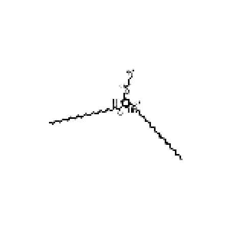 CCCCCC=CCC=CCCCCCCCCNC(=O)c1cc(COC(=O)CCCN(C)C)cc(C(=O)NCCCCCCCCC=CCC=CCCCCC)c1